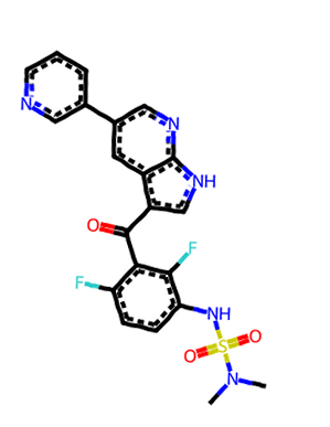 CN(C)S(=O)(=O)Nc1ccc(F)c(C(=O)c2c[nH]c3ncc(-c4cccnc4)cc23)c1F